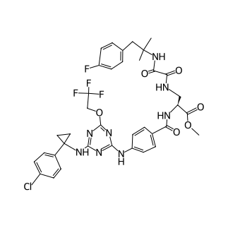 COC(=O)[C@H](CNC(=O)C(=O)NC(C)(C)Cc1ccc(F)cc1)NC(=O)c1ccc(Nc2nc(NC3(c4ccc(Cl)cc4)CC3)nc(OCC(F)(F)F)n2)cc1